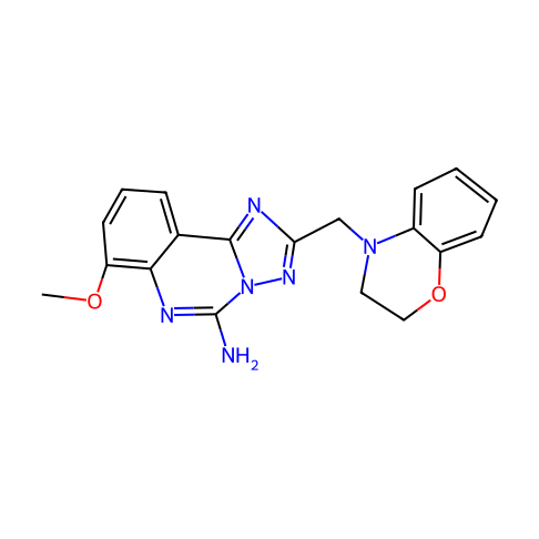 COc1cccc2c1nc(N)n1nc(CN3CCOc4ccccc43)nc21